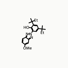 CCC(C)(C)c1cc(-n2nc3ccc(OC)cc3n2)c(O)c(C(C)(C)CC)c1